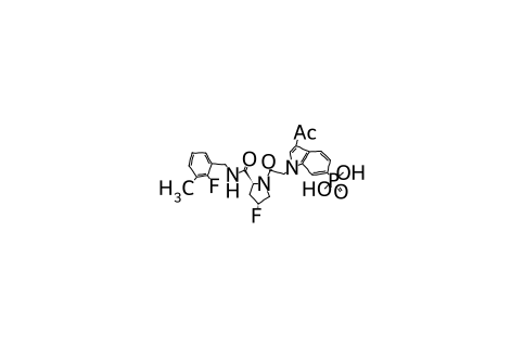 CC(=O)c1cn(CC(=O)N2C[C@H](F)C[C@H]2C(=O)NCc2cccc(C)c2F)c2cc(P(=O)(O)O)ccc12